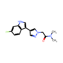 CN(C)C(=O)Cn1cc(-c2c[nH]c3cc(F)ccc23)cn1